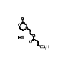 Cl.O=C(O)/C=C/C(=O)OCCN1CCOC(=O)C1